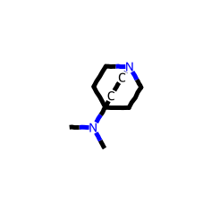 CN(C)C12CCN(CC1)CC2